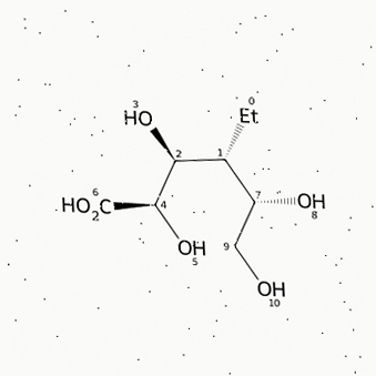 CC[C@@H]([C@H](O)[C@@H](O)C(=O)O)[C@H](O)CO